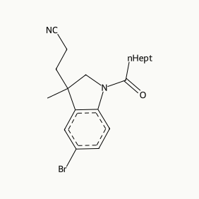 CCCCCCCC(=O)N1CC(C)(CCC#N)c2cc(Br)ccc21